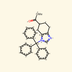 COC(=O)C1CCc2ncn(C(c3ccccc3)(c3ccccc3)c3ccccc3)c2C1